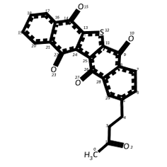 CC(=O)CCc1ccc2c(=O)c3sc4c(=O)c5ccccc5c(=O)c4c3c(=O)c2c1